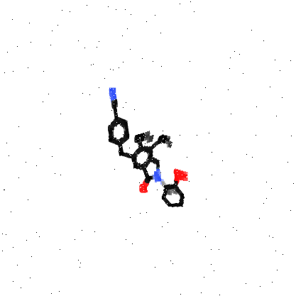 Cc1c(Cc2ccc(C#N)cc2)cc2c(c1C)CN([C@H]1CCCC[C@@H]1O)C2=O